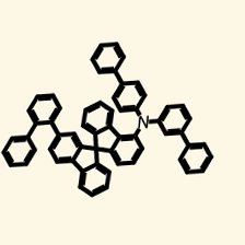 c1ccc(-c2ccc(N(c3cccc(-c4ccccc4)c3)c3cccc4c3-c3ccccc3C43c4ccccc4-c4ccc(-c5ccccc5-c5ccccc5)cc43)cc2)cc1